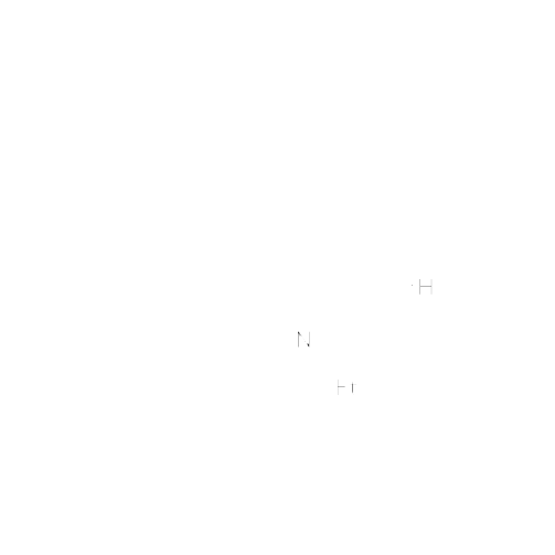 [2H]c1cccc2c3ccccc3n(CC)c12